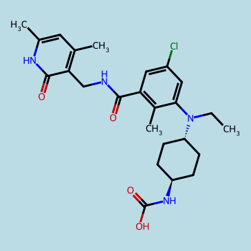 CCN(c1cc(Cl)cc(C(=O)NCc2c(C)cc(C)[nH]c2=O)c1C)[C@H]1CC[C@H](NC(=O)O)CC1